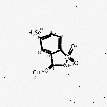 O=C1NS(=O)(=O)c2ccccc21.[Cu].[SeH2]